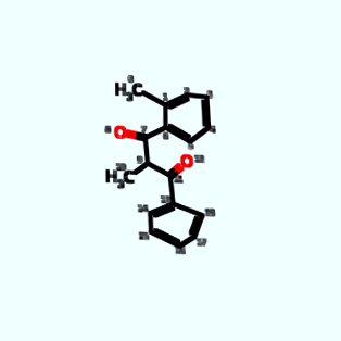 Cc1ccccc1C(=O)C(C)C(=O)c1ccccc1